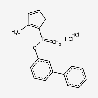 Cl.Cl.[CH2]=[Ti]([O]c1cccc(-c2ccccc2)c1)[C]1=C(C)C=CC1